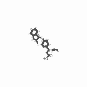 CC#C[C@@H](CC(=O)O)c1ccc(OC2c3ccccc3CC2C)cc1